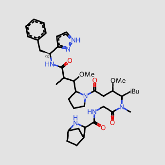 CCC(C)C(C(CC(=O)N1CCCC1C(OC)C(C)C(=O)N[C@@H](Cc1ccccc1)c1cc[nH]n1)OC)N(C)C(=O)CNC(=O)C1NC2CCC1C2